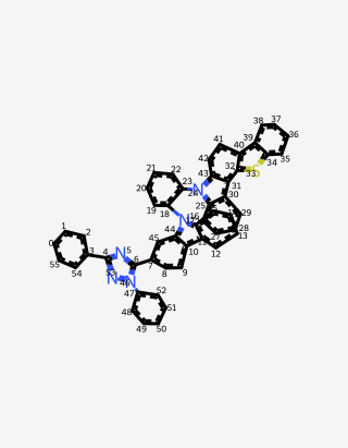 c1ccc(-c2nc(-c3ccc4c5ccccc5n(-c5ccccc5-n5c6ccccc6c6c7sc8ccccc8c7ccc65)c4c3)n(-c3ccccc3)n2)cc1